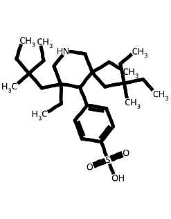 CCC(C)(CC)CC1(CC)CNCC(CC)(CC(C)(CC)CC)C1c1ccc(S(=O)(=O)O)cc1